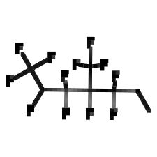 CCC(F)(F)C(F)(C(F)(F)F)C(F)(F)C(F)C(F)(F)F